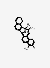 Cc1c(F)ccc2c3c(ccc12)=C1NC(C)(c2c1ccc1c2CCC=C1)C(C)C=3